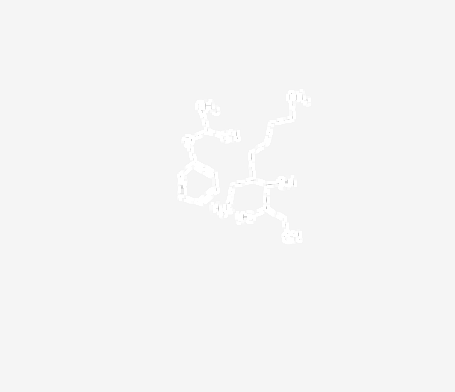 CC(O)Oc1ccccc1.CCCCCC(CC)C(O)C(O)CO